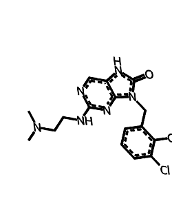 CN(C)CCNc1ncc2[nH]c(=O)n(Cc3cccc(Cl)c3Cl)c2n1